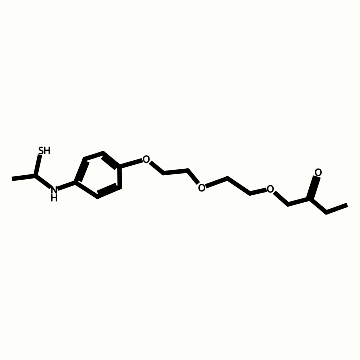 CCC(=O)COCCOCCOc1ccc(NC(C)S)cc1